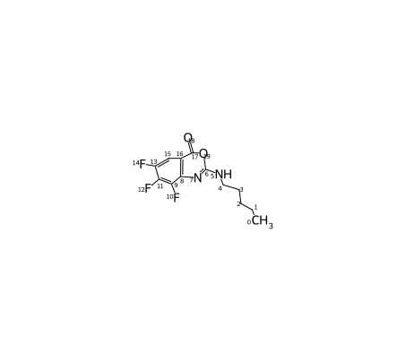 CCCCCNc1nc2c(F)c(F)c(F)cc2c(=O)o1